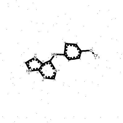 FC(F)(F)Oc1ccc(Nc2ncnc3[nH]cnc23)cc1